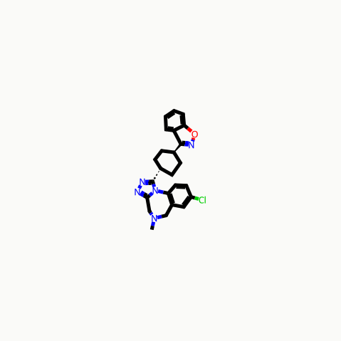 CN1Cc2cc(Cl)ccc2-n2c(nnc2[C@H]2CC[C@H](c3noc4ccccc43)CC2)C1